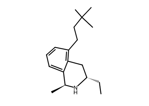 CC[C@H]1Cc2c(CCC(C)(C)C)cccc2[C@H](C)N1